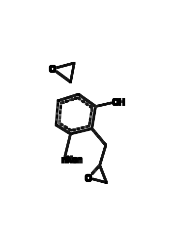 C1CO1.CCCCCCCCCc1cccc(O)c1CC1CO1